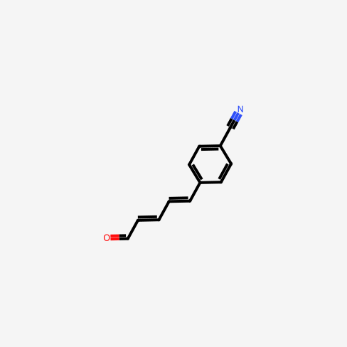 N#Cc1ccc(C=CC=CC=O)cc1